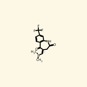 CN(C)/C=C1/CC(=O)Nc2cc(C(F)(F)F)ccc2C1=O